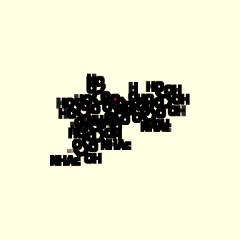 CC(=O)NC1C(O)[C@H](O[C@@H]2OC(CO)[C@H](O)C(O)[C@@H]2O)[C@H](CO)O[C@H]1O[C@@H]1C(O)[C@H](O)C(CO)O[C@@H]1OCC(O[C@H](CO)O[C@@H]1C(CO)O[C@@H](O[C@@H]2C(CO)O[C@@H](C)[C@@H](NC(C)=O)C2O)C(NC(C)=O)[C@H]1O)[C@@H](O)[C@@H](C)O[C@H]1O[C@H](CO)[C@@H](O)C(O)C1O[C@@H]1OC(CO)[C@@H](O)C(O)[C@@H]1NC(C)=O